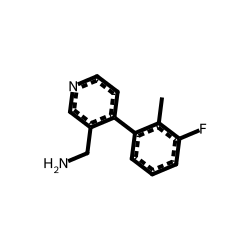 Cc1c(F)cccc1-c1ccncc1CN